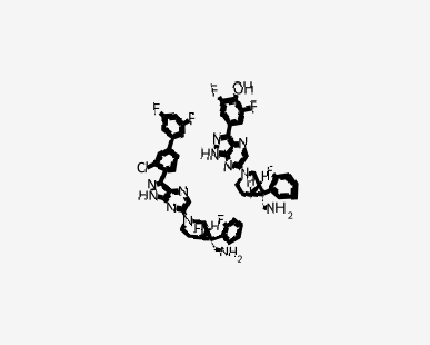 NC[C@]1(c2ccccc2F)[C@@H]2CCN(c3cnc4c(-c5cc(F)c(O)c(F)c5)n[nH]c4n3)C[C@@H]21.NC[C@]1(c2ccccc2F)[C@@H]2CCN(c3cnc4c(-c5ccc(-c6cc(F)cc(F)c6)cc5Cl)n[nH]c4n3)C[C@@H]21